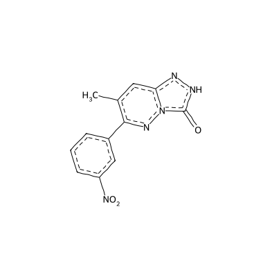 Cc1cc2n[nH]c(=O)n2nc1-c1cccc([N+](=O)[O-])c1